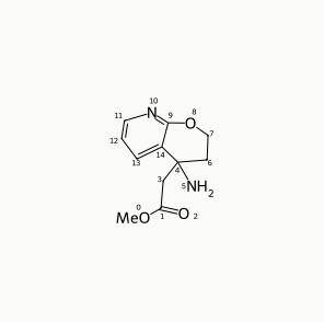 COC(=O)CC1(N)CCOc2ncccc21